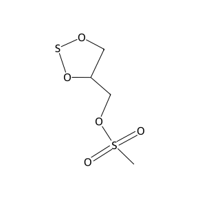 CS(=O)(=O)OCC1COSO1